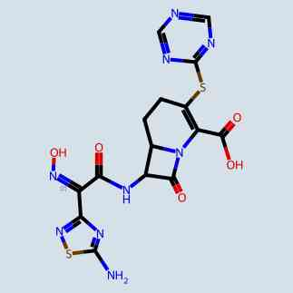 Nc1nc(/C(=N/O)C(=O)NC2C(=O)N3C(C(=O)O)=C(Sc4ncncn4)CCC23)ns1